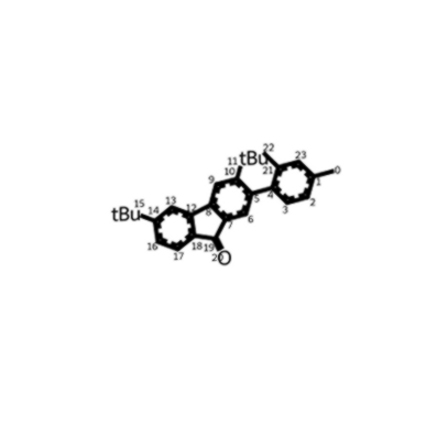 Cc1ccc(-c2cc3c(cc2C(C)(C)C)-c2cc(C(C)(C)C)ccc2C3=O)c(C)c1